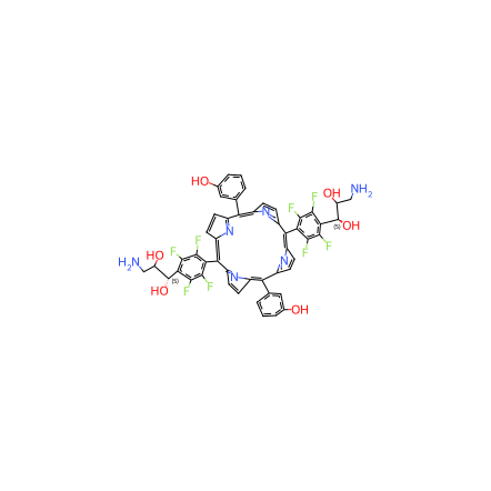 NCC(O)[C@@H](O)c1c(F)c(F)c(C2=C3C=CC(=N3)C(c3cccc(O)c3)=C3C=CC(=N3)C(c3c(F)c(F)c([C@H](O)C(O)CN)c(F)c3F)=C3C=CC(=N3)C(c3cccc(O)c3)=C3C=CC2=N3)c(F)c1F